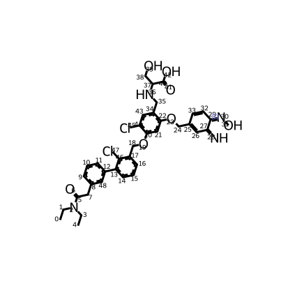 CCN(CC)C(=O)Cc1cccc(-c2cccc(COc3cc(OCC4=CC(=N)/C(=N\O)C=C4)c(CNC(CO)C(=O)O)cc3Cl)c2Cl)c1